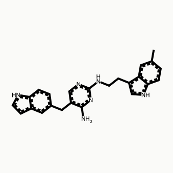 Cc1ccc2[nH]cc(CCNc3ncc(Cc4ccc5[nH]ccc5c4)c(N)n3)c2c1